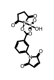 O=C(O[N+]1(S(=O)(=O)O)C(=O)CCC1=O)c1cccc(N2C(=O)C=CC2=O)c1